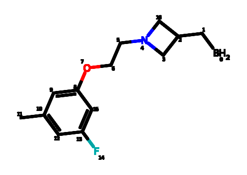 BCC1CN(CCOc2cc(C)cc(F)c2)C1